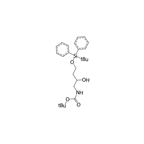 CC(C)(C)OC(=O)NCC(O)CCO[Si](c1ccccc1)(c1ccccc1)C(C)(C)C